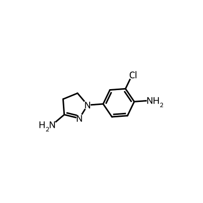 NC1=NN(c2ccc(N)c(Cl)c2)CC1